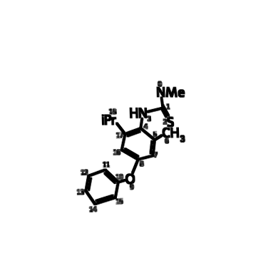 CNC(=S)Nc1c(C)cc(Oc2ccccc2)cc1C(C)C